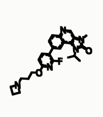 CC(C)n1c(=O)n(C)c2cnc3ccc(-c4ccc(OCCCN5CCC5)nc4F)cc3c21